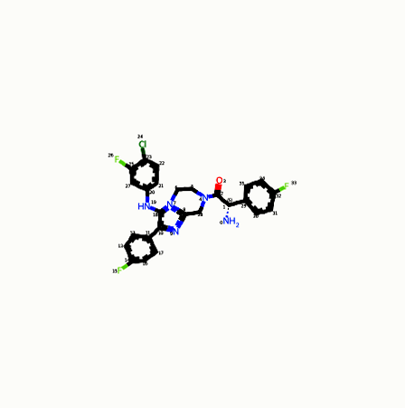 N[C@H](C(=O)N1CCn2c(nc(-c3ccc(F)cc3)c2Nc2ccc(Cl)c(F)c2)C1)c1ccc(F)cc1